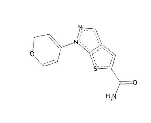 NC(=O)c1cc2cnn(C3=CCOC=C3)c2s1